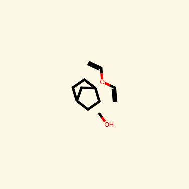 C1CC2CCC1C2.C=COC=C.CO